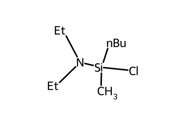 CCCC[Si](C)(Cl)N(CC)CC